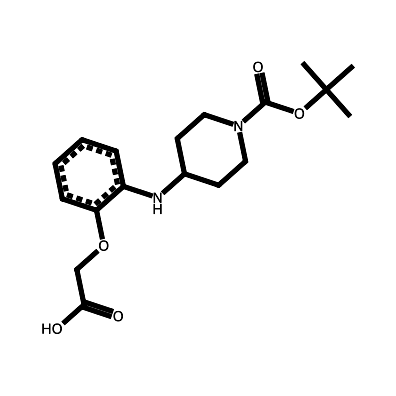 CC(C)(C)OC(=O)N1CCC(Nc2ccccc2OCC(=O)O)CC1